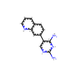 Nc1ncc(-c2ccc3cccnc3c2)c(N)n1